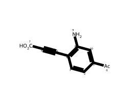 CC(=O)c1ccc(C#CC(=O)O)c(N)c1